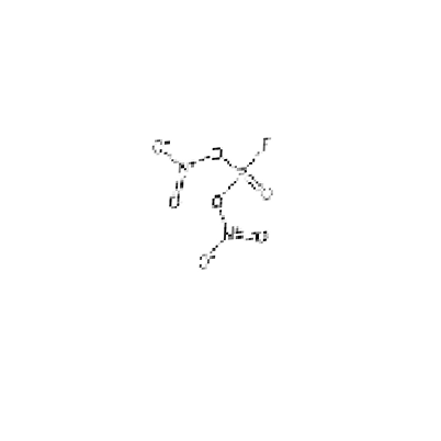 O=[N+]([O-])OP(=O)(F)O[N+](=O)[O-]